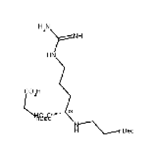 CCCCCCCCCCCC(=O)O.CCCCCCCCCCCCN[C@@H](CCCNC(=N)N)C(=O)O